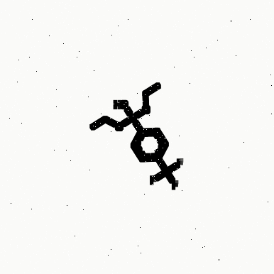 CCO[Si](O)(OCC)c1ccc(C(F)(F)F)cc1